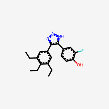 CCc1cc(-c2nn[nH]c2-c2ccc(O)c(F)c2)cc(CC)c1CC